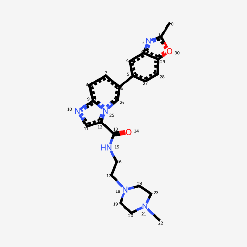 Cc1nc2cc(-c3ccc4ncc(C(=O)NCCN5CCN(C)CC5)n4c3)ccc2o1